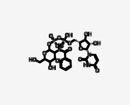 O=C(NC1C(OP(=O)(O)OP(=O)(O)OC[C@H]2O[C@@H](n3ccc(=O)[nH]c3=O)[C@@H](O)C2O)OC(CO)C(O)C1O)c1ccccc1